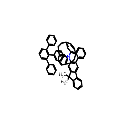 CC1(C)c2ccccc2-c2cc(-c3ccccc3)c(N(c3ccc(-c4c(-c5ccccc5)cccc4-c4ccccc4)cc3)c3cc4ccc3CCc3ccc(cc3)CC4)cc21